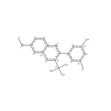 COc1ccc2nc(-c3cc(C)cc(C)c3)c(C(C)(C)C)cc2c1